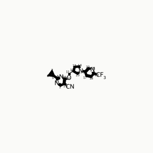 N#Cc1cnc(C2CC2)nc1OC[C@@H]1CCN(c2ccc(C(F)(F)F)nc2)C1